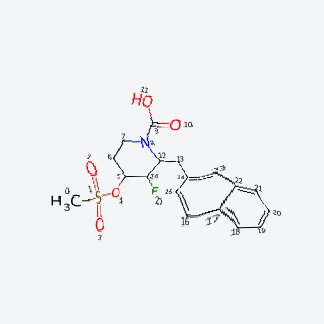 CS(=O)(=O)OC1CCN(C(=O)O)C(Cc2ccc3ccccc3c2)C1F